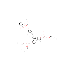 C=CC(=O)OCC(O)COc1ccc(C(C)(c2ccc(OCC(COC(=O)C=C)OC(=O)C=C)cc2)c2ccc(C(C)(C)c3ccc(OCC(COC(=O)C=C)OC(=O)C4CC=CCC4C(=O)O)cc3)cc2)cc1